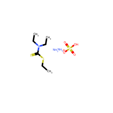 CCSC(=S)N(CC)CC.N.N.O=S(=O)(O)O